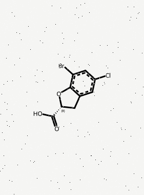 O=C(O)[C@H]1Cc2cc(Cl)cc(Br)c2O1